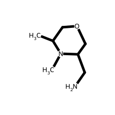 CC1COCC(CN)N1C